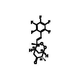 C[C@@H]1C(=O)C[C@H]2C[C@@H]1OO[C@@]2(C)C=Cc1c(F)c(F)c(F)c(F)c1F